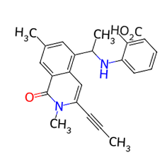 CC#Cc1cc2c(C(C)Nc3ccccc3C(=O)O)cc(C)cc2c(=O)n1C